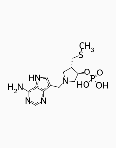 CSC[C@H]1CN(Cc2c[nH]c3c(N)ncnc23)C[C@@H]1OP(=O)(O)O